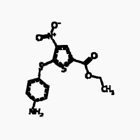 CCOC(=O)c1cc([N+](=O)[O-])c(Sc2ccc(N)cc2)s1